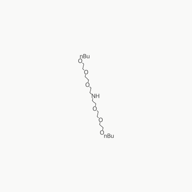 CCCCOCCOCCOCCNCCOCCOCCOCCCC